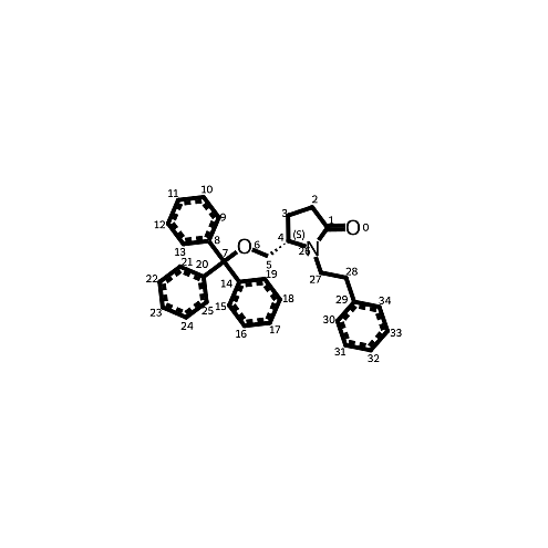 O=C1CC[C@@H](COC(c2ccccc2)(c2ccccc2)c2ccccc2)N1CCc1ccccc1